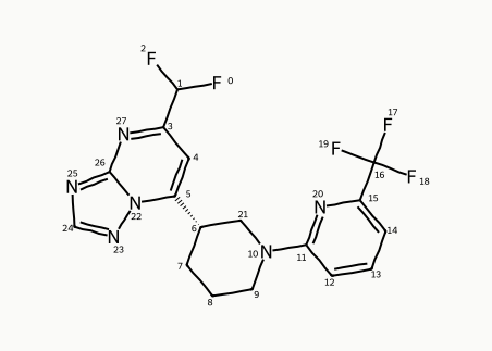 FC(F)c1cc([C@H]2CCCN(c3cccc(C(F)(F)F)n3)C2)n2ncnc2n1